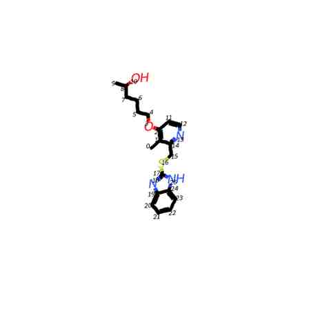 Cc1c(OCCCCC(C)O)ccnc1CSc1nc2ccccc2[nH]1